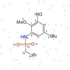 COc1c(N=O)cc(C(C)(C)C)cc1NS(=O)(=O)CC(C)C